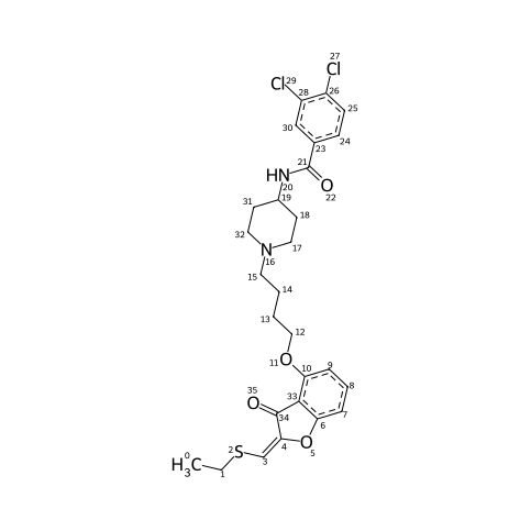 CCSC=C1Oc2cccc(OCCCCN3CCC(NC(=O)c4ccc(Cl)c(Cl)c4)CC3)c2C1=O